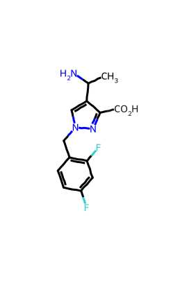 CC(N)c1cn(Cc2ccc(F)cc2F)nc1C(=O)O